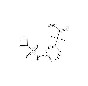 COC(=O)C(C)(C)c1ccnc(NS(=O)(=O)C2CCC2)n1